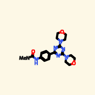 CNC(=O)Nc1ccc(-c2nc(N3CCOCC3)nc(N3CCOCC3)n2)cc1